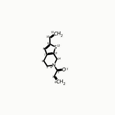 C=CC(=O)N1CCc2cc(C=C)sc2C1